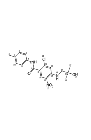 Cc1ccc(NC(=O)c2cc([N+](=O)[O-])c(NCC(C)(C)O)cc2Cl)cc1